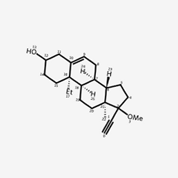 C#CC1(OC)CC[C@H]2[C@@H]3CC=C4CC(O)CC[C@]4(CC)[C@@H]3CC[C@@]21C